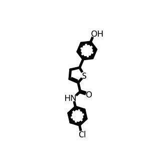 O=C(Nc1ccc(Cl)cc1)C1=CCC(c2ccc(O)cc2)S1